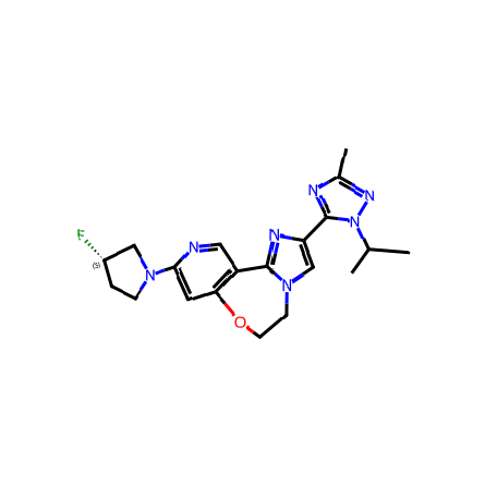 Cc1nc(-c2cn3c(n2)-c2cnc(N4CC[C@H](F)C4)cc2OCC3)n(C(C)C)n1